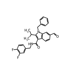 CC(C)c1c(C(=O)NCc2ccc(F)c(F)c2)c2ccc(C=O)cc2n1Cc1ccccc1